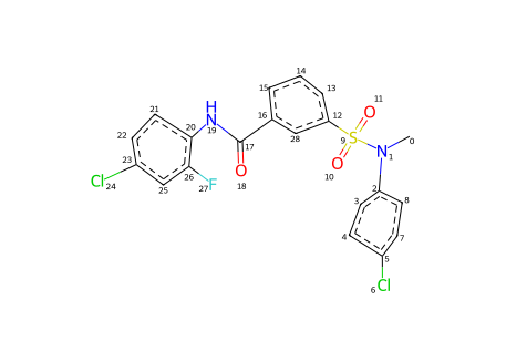 CN(c1ccc(Cl)cc1)S(=O)(=O)c1cccc(C(=O)Nc2ccc(Cl)cc2F)c1